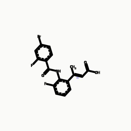 C/C(=C\C(=O)O)c1cccc(F)c1NC(=O)c1ccc(Br)cc1F